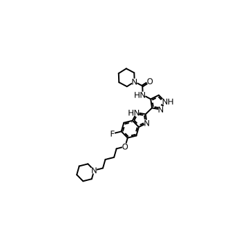 O=C(Nc1c[nH]nc1-c1nc2cc(OCCCCN3CCCCC3)c(F)cc2[nH]1)N1CCCCC1